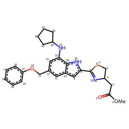 COC(=O)CC1CSC(c2cc3cc(COc4ccccc4)cc(NC4CCCC4)c3[nH]2)=N1